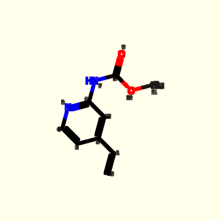 C=Cc1ccnc(NC(=O)OC(C)(C)C)c1